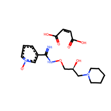 N=C(NOC[C@@H](O)CN1CCCCC1)c1ccc[n+]([O-])c1.O=C(O)/C=C\C(=O)O